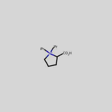 CC(C)[N+]1(C(C)C)CCCC1C(=O)O